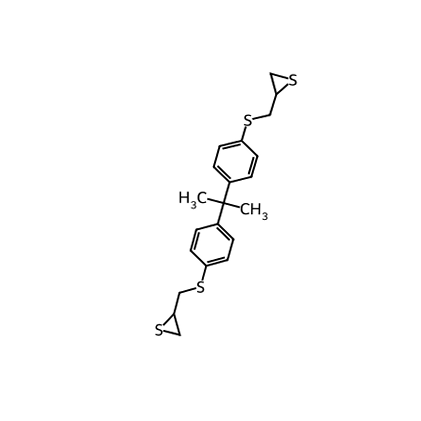 CC(C)(c1ccc(SCC2CS2)cc1)c1ccc(SCC2CS2)cc1